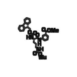 COC(=O)c1cccc(NC(=O)[C@@H](CCCNC(=O)OC(C)(C)C)NC(=O)OCC2c3ccccc3-c3ccccc32)c1